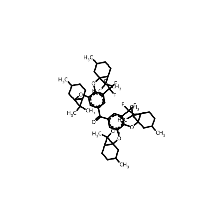 CC1CCC2C(C)(C)C2(Oc2cc(C(=O)c3cc(OC45CC(C)CCC4C5(C)C)c(OC45CC(C)CCC4C5(C)C)c(C(F)(F)F)c3)cc(C(F)(F)F)c2OC23CC(C)CCC2C3(C)C)C1